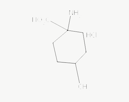 CC1CCC(N)(C(=O)O)CC1.Cl